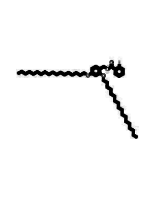 CCCCCCCCCCCCCCCCCCOc1ccc(COC(=O)c2ccccc2I)c(OCCCCCCCCCCCCCCCCCC)c1